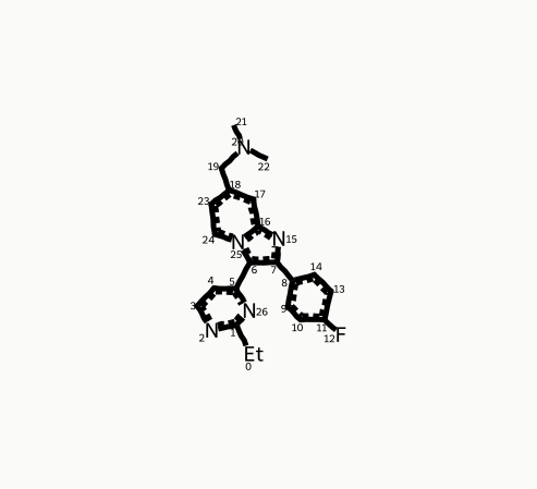 CCc1nccc(-c2c(-c3ccc(F)cc3)nc3cc(CN(C)C)ccn23)n1